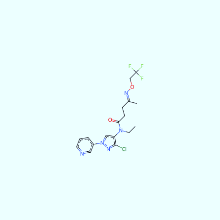 CCN(C(=O)CC/C(C)=N/OCC(F)(F)F)c1cn(-c2cccnc2)nc1Cl